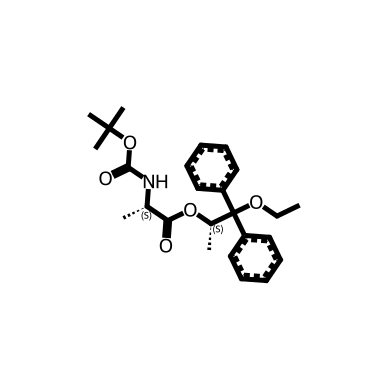 CCOC(c1ccccc1)(c1ccccc1)[C@H](C)OC(=O)[C@H](C)NC(=O)OC(C)(C)C